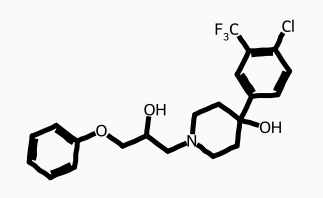 OC(COc1ccccc1)CN1CCC(O)(c2ccc(Cl)c(C(F)(F)F)c2)CC1